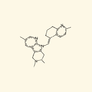 Cc1cnc2c(c1)c1c(n2/C=C2\CCCc3nc(C)ccc32)CC(C)N(C)C1